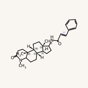 CN1C(=O)CC[C@@]2(C)C1CC[C@@H]1[C@H]2CC[C@]2(C)C(NC(=O)/C=C/c3ccccc3)CC[C@@H]12